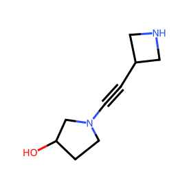 OC1CCN(C#CC2CNC2)C1